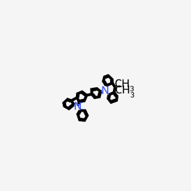 CC1(C)c2ccccc2N(c2ccc(-c3ccc4c5ccccc5n(-c5ccccc5)c4c3)cc2)c2ccccc21